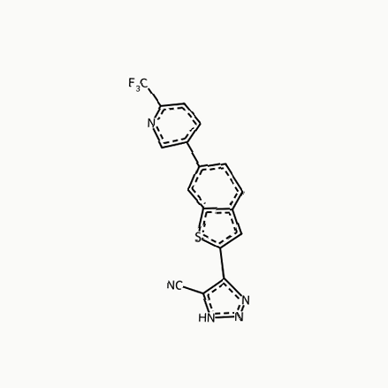 N#Cc1[nH]nnc1-c1cc2ccc(-c3ccc(C(F)(F)F)nc3)cc2s1